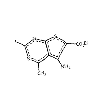 CCOC(=O)c1sc2nc(I)nc(C)c2c1N